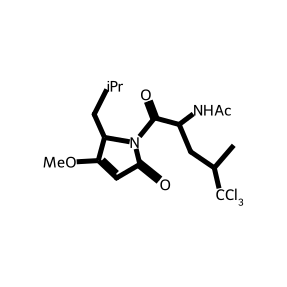 COC1=CC(=O)N(C(=O)C(CC(C)C(Cl)(Cl)Cl)NC(C)=O)C1CC(C)C